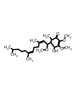 COC1=C(OC)C(O)C(C(C=C(C)CCC=C(C)CCCC(C)C)OC)C(C)C1=O